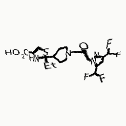 CCC1(C2CCN(C(=O)Cn3nc(C(F)F)cc3C(F)F)CC2)NC(C(=O)O)=CS1